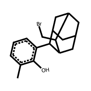 Cc1cccc(C2C3CC4CC(C3)C(CBr)C2C4)c1O